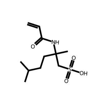 C=CC(=O)NC(C)(CCC(C)C)CS(=O)(=O)O